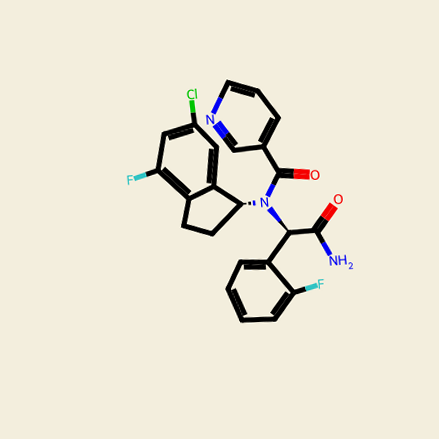 NC(=O)[C@@H](c1ccccc1F)N(C(=O)c1cccnc1)[C@@H]1CCc2c(F)cc(Cl)cc21